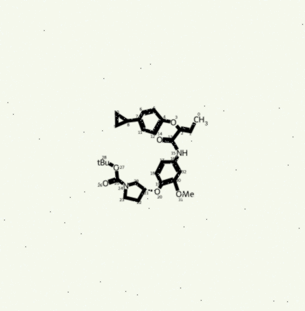 C/C=C(\Oc1ccc(C2CC2)cc1)C(=O)Nc1ccc(O[C@@H]2CCN(C(=O)OC(C)(C)C)C2)c(OC)c1